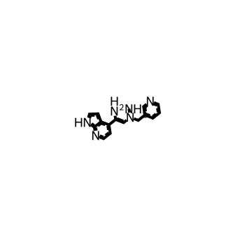 N/C(=C\N(N)Cc1cccnc1)c1ccnc2[nH]ccc12